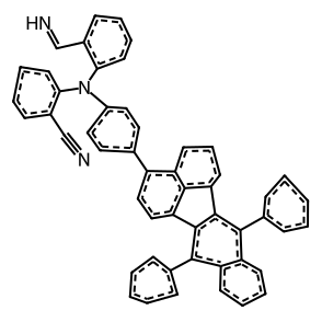 N#Cc1ccccc1N(c1ccc(-c2ccc3c4c(cccc24)-c2c-3c(-c3ccccc3)c3ccccc3c2-c2ccccc2)cc1)c1ccccc1C=N